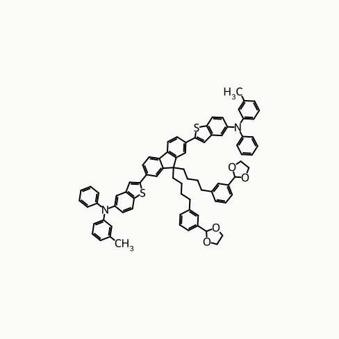 Cc1cccc(N(c2ccccc2)c2ccc3sc(-c4ccc5c(c4)C(CCCCc4cccc(C6OCCO6)c4)(CCCCc4cccc(C6OCCO6)c4)c4cc(-c6cc7cc(N(c8ccccc8)c8cccc(C)c8)ccc7s6)ccc4-5)cc3c2)c1